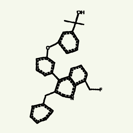 CC(C)(O)c1cccc(Oc2cccc(-c3c(Cc4ccccc4)cnc4c(CF)cccc34)c2)c1